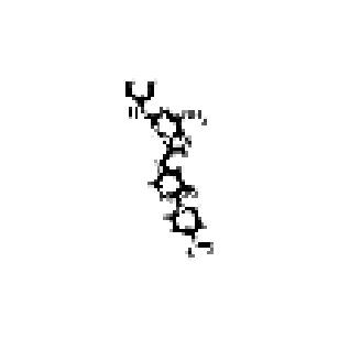 CCC(CC)Nc1nc(N)c2ncc(Cc3cnc(N4CCC(N(C)C)CC4)c(C)c3)n2n1